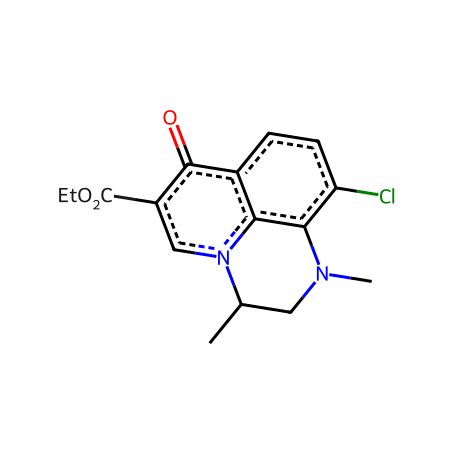 CCOC(=O)c1cn2c3c(c(Cl)ccc3c1=O)N(C)CC2C